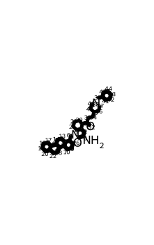 Nc1cc2c(n(Cc3cccc4c3ccc3c5ccccc5ccc43)c1=O)CCCC2C(=O)CCC1CCN(Cc2ccccc2)CC1